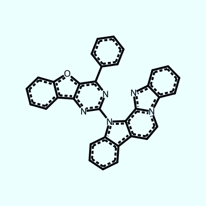 c1ccc(-c2nc(-n3c4ccccc4c4ccn5c6ccccc6nc5c43)nc3c2oc2ccccc23)cc1